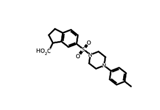 Cc1ccc(N2CCN(S(=O)(=O)c3ccc4c(c3)C(C(=O)O)CC4)CC2)cc1